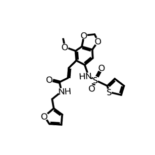 COc1c(/C=C/C(=O)NCc2ccco2)c(NS(=O)(=O)c2cccs2)cc2c1OCO2